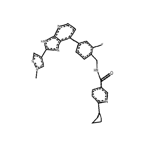 Cn1cc(-c2nc3c(-c4ccc(CNC(=O)c5ccc(C6CC6)nc5)c(F)c4)ccnc3[nH]2)cn1